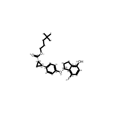 CC(C)(C)CCCOC(=O)[C@H]1C[C@@H]1c1ccc(O[C@@H]2CCc3c(O)ccc(F)c32)cc1